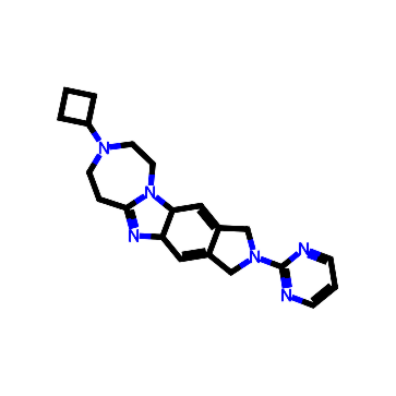 C1=C2CN(c3ncccn3)CC2=CC2C1N=C1CCN(C3CCC3)CCN12